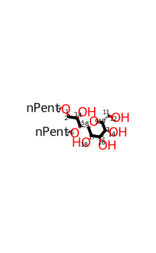 CCCCCOCC(O)C(OCCCCC)[C@@H]1O[C@H](CO)[C@@H](O)[C@H](O)[C@H]1O